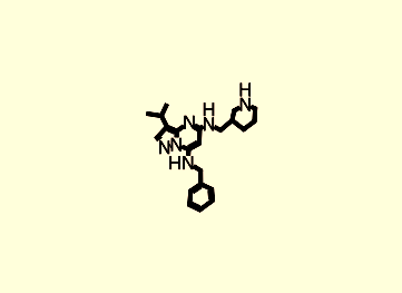 CC(C)c1cnn2c(NCc3ccccc3)cc(NCC3CCCNC3)nc12